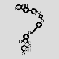 O=C1CCC(N2C(=O)c3ccc(OCC#Cc4ccc(O[C@H]5C[C@H](Oc6ccc(-c7ccc8c(c7)[nH]c7ccncc78)cn6)C5)cc4)cc3C2=O)C(=O)N1